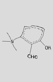 C[Si](C)(C)c1cccc(O)c1C=O